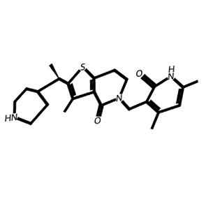 Cc1cc(C)c(CN2CCc3sc([C@H](C)C4CCNCC4)c(C)c3C2=O)c(=O)[nH]1